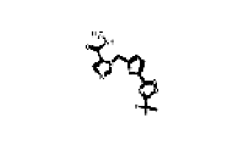 CNC(=O)c1cncn1Cc1ccc(-c2noc(C(F)(F)F)n2)s1